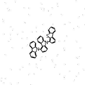 c1ccc2c(c1)sc1c(-n3c4ccccc4c4c(-n5c6ccccc6c6ccccc65)cccc43)cccc12